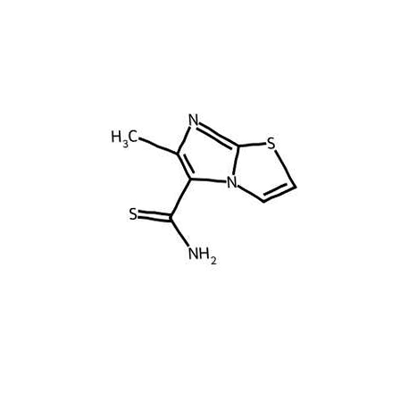 Cc1nc2sccn2c1C(N)=S